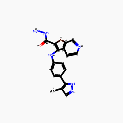 Cc1cn[nH]c1-c1ccc(Nc2c(C(=O)NN)sc3cnccc23)cc1